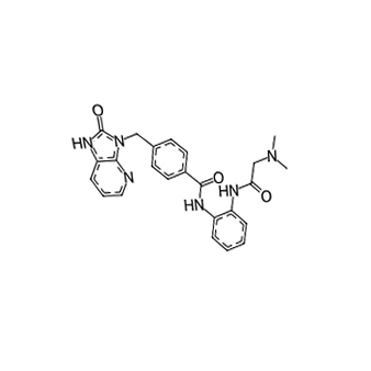 CN(C)CC(=O)Nc1ccccc1NC(=O)c1ccc(Cn2c(=O)[nH]c3cccnc32)cc1